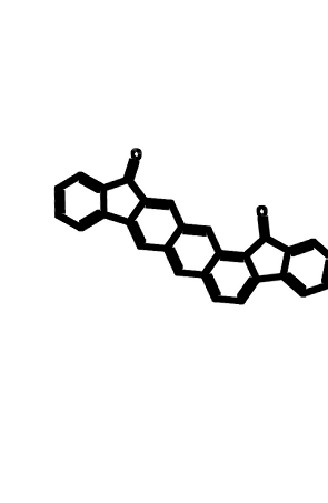 O=c1c2ccccc2c2cc3cc4ccc5c6ccccc6c(=O)c5c4cc3cc12